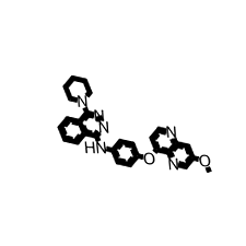 COc1cnc2c(Oc3ccc(Nc4nnc(N5CCCCC5)c5ccccc45)cc3)ccnc2c1